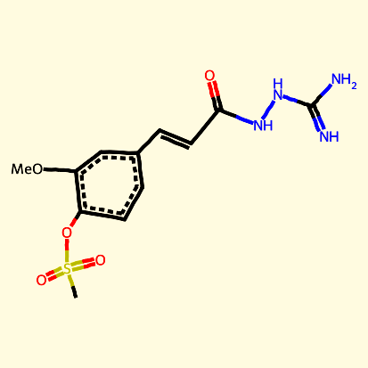 COc1cc(/C=C/C(=O)NNC(=N)N)ccc1OS(C)(=O)=O